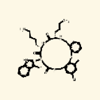 Cc1cc(Cl)cc2c1Sc1ccccc1CN[C@@H](CCCN)C(=O)N[C@@H](CCCCN)C(=O)N(C)[C@@H](Cc1c[nH]c3ccccc13)C(=O)NC2